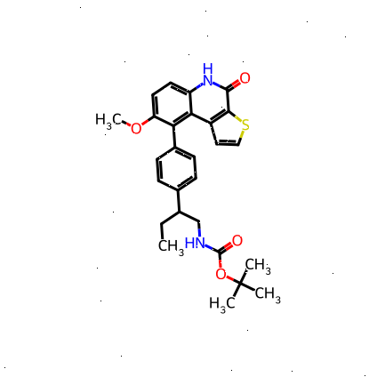 CCC(CNC(=O)OC(C)(C)C)c1ccc(-c2c(OC)ccc3[nH]c(=O)c4sccc4c23)cc1